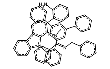 CN(/C(=N\Cc1ccccc1)c1ccccc1)c1c(-c2ccccc2N)ccc2c3ccccc3n(-c3ccccc3-c3cc(-c4ccccc4)nc(-c4ccccc4)n3)c12